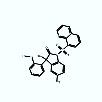 CCOc1ccccc1C1(O)C(=O)N(S(=O)(=O)c2cccc3cccnc23)c2ccc(C#N)cc21